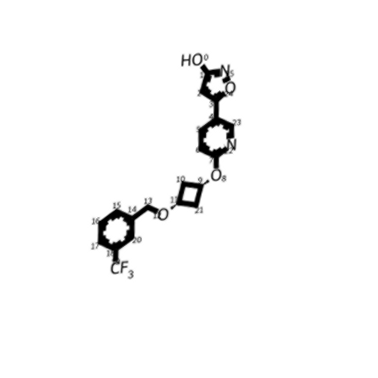 Oc1cc(-c2ccc(O[C@H]3C[C@@H](OCc4cccc(C(F)(F)F)c4)C3)nc2)on1